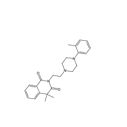 Cc1ccccc1N1CCN(CCN2C(=O)c3ccccc3C(C)(C)C2=O)CC1